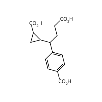 O=C(O)CCC(c1ccc(C(=O)O)cc1)C1CC1C(=O)O